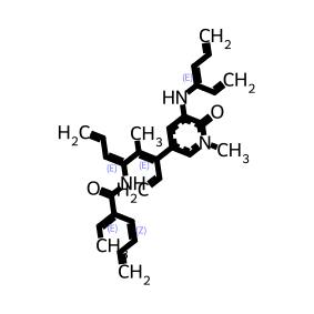 C=C/C=C\C(=C/C)C(=O)NC(=C/C=C)/C(C)=C(\C=C)c1cc(N/C(C=C)=C/C=C)c(=O)n(C)c1